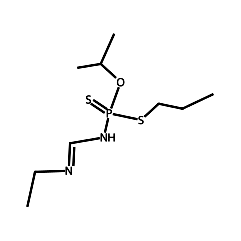 CCCSP(=S)(NC=NCC)OC(C)C